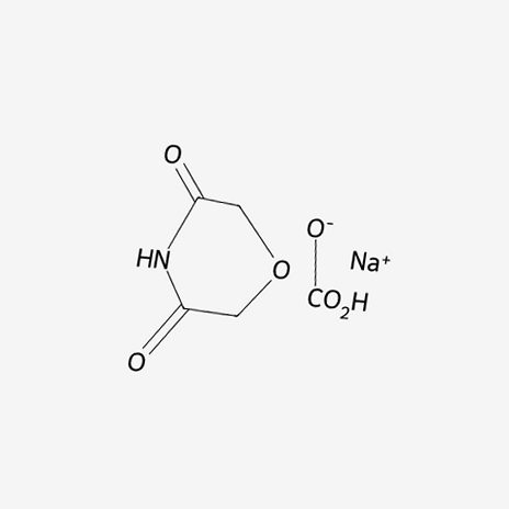 O=C([O-])O.O=C1COCC(=O)N1.[Na+]